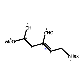 CCCCCCC/C=C(\C=O)CC(C)OC